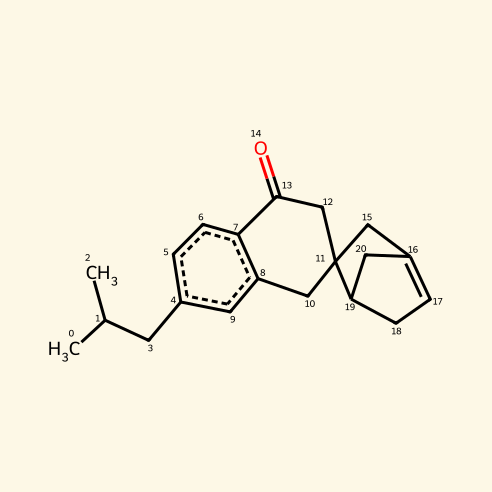 CC(C)Cc1ccc2c(c1)CC1(CC2=O)CC2=CCC1C2